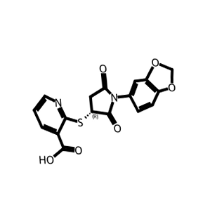 O=C(O)c1cccnc1S[C@@H]1CC(=O)N(c2ccc3c(c2)OCO3)C1=O